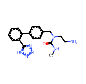 CCNC(=O)N(CCN)Cc1ccc(-c2ccccc2-c2nnn[nH]2)cc1